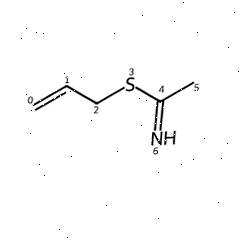 C=CCSC(C)=N